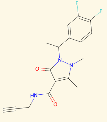 C#CCNC(=O)c1c(C)n(C)n(C(C)c2ccc(F)c(F)c2)c1=O